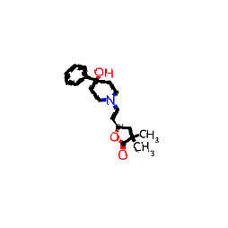 CC1(C)C[C@H](CCN2CCC(O)(c3ccccc3)CC2)OC1=O